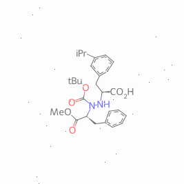 COC(=O)[C@H](Cc1ccccc1)N(N[C@@H](Cc1cccc(C(C)C)c1)C(=O)O)C(=O)OC(C)(C)C